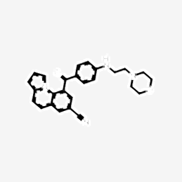 N#Cc1cc(C(=O)c2ccc(NCCN3CCOCC3)cc2)c2c(ccc3cccn32)c1